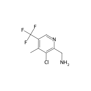 Cc1c(C(F)(F)F)cnc(CN)c1Cl